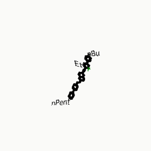 CCCCCc1ccc(-c2ccc(CCc3ccc4cc(C#Cc5c(F)cc(-c6ccc(CCCC)cc6)cc5CC)ccc4c3)cc2)cc1